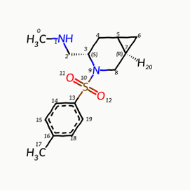 CNC[C@@H]1CC2C[C@H]2CN1S(=O)(=O)c1ccc(C)cc1